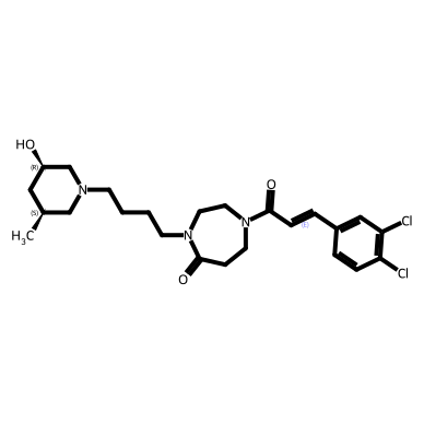 C[C@H]1C[C@@H](O)CN(CCCCN2CCN(C(=O)/C=C/c3ccc(Cl)c(Cl)c3)CCC2=O)C1